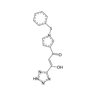 O=C(C=C(O)c1nn[nH]n1)c1ccn(Sc2ccccc2)c1